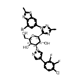 Cc1nc([C@@H]2O[C@H](CO)[C@H](O)[C@H](n3cc(-c4ccc(Cl)c(F)c4F)cn3)[C@H]2O)n(-c2cc(Br)c3nc(C)sc3c2)n1